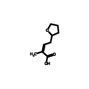 CC(=CCC1CCCO1)C(=O)O